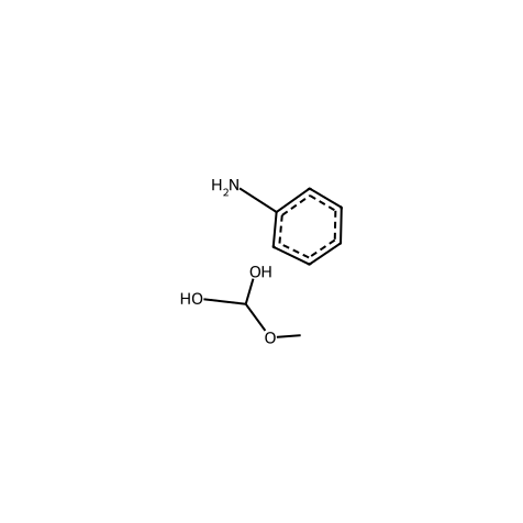 COC(O)O.Nc1ccccc1